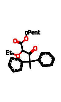 CCCCCOC(=O)C(OCC)C(=O)C(C)(c1ccccc1)c1ccccc1